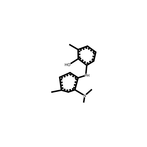 Cc1ccc(Pc2cccc(C)c2O)c(N(C)C)c1